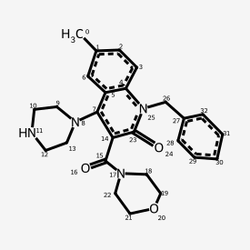 Cc1ccc2c(c1)c(N1CCNCC1)c(C(=O)N1CCOCC1)c(=O)n2Cc1ccccc1